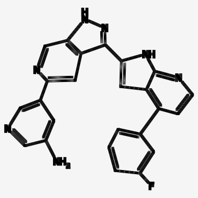 Nc1cncc(-c2cc3c(-c4cc5c(-c6cccc(F)c6)ccnc5[nH]4)n[nH]c3cn2)c1